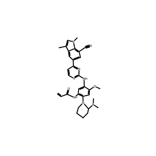 C=CC(=O)Nc1cc(Nc2nccc(-c3cc(C#N)c4c(c3)c(C)cn4C)n2)c(OC)cc1N1CCCCC1N(C)C